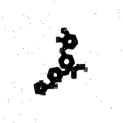 NC(=O)C1(Cc2cccc(Nc3nccs3)n2)CCC(Oc2cccc(Cl)c2F)CC1